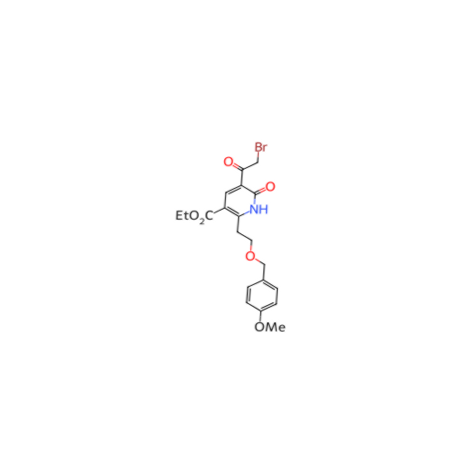 CCOC(=O)c1cc(C(=O)CBr)c(=O)[nH]c1CCOCc1ccc(OC)cc1